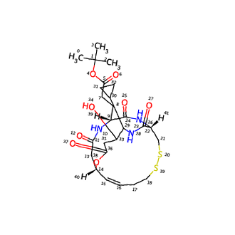 CC(C)(C)OC(=O)CC[C@H]1NC(=O)C[C@H]2C=CCCSSC[C@@H](NC1=O)C(=O)NC(C1CC1)C(O)CC(=O)O2